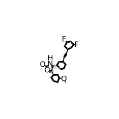 COc1cccc([C@H]2OC(=O)N[C@@H]2c2cccc(C#Cc3cc(F)cc(F)c3)c2)c1